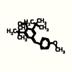 COc1ccc(C=C2C=C(C(C)(C)C)C(C=O)C(C(C)(C)C)=C2)cc1